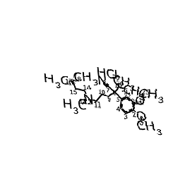 COc1ccc(C(C#N)(CCCN(C)CCC(C)C)C(C)C)cc1OC.Cl